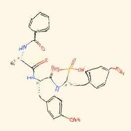 CC[C@H](C)[C@H](NC(=O)c1ccccc1)C(=O)N[C@@H](Cc1ccc(O)cc1)C(=O)N[C@@H](Cc1ccc(O)cc1)P(=O)(O)O